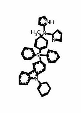 CC1(N(c2ccc[nH]2)C2C=CC=N2)C=CC([Si](c2ccccc2)(c2ccccc2)c2ccc3c(c2)c2ccccc2n3C2=CC=CCC2)=CC1